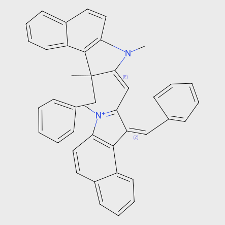 CN1/C(=C/C2=[N+](C)c3ccc4ccccc4c3/C2=C/c2ccccc2)C(C)(Cc2ccccc2)c2c1ccc1ccccc21